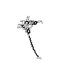 CCCCCCCCCCCCCCCCCCOc1ccc(C(=O)NC[C@H]2O[C@H](O[C@H]3O[C@H](CNC(=O)c4ccc(C)cc4O)[C@@H](O)[C@H](O)[C@H]3O)[C@H](O)[C@@H](O)[C@@H]2O)c(O)c1